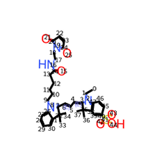 CCN1/C(=C/C=C/C2=[N+](CCCCCC(=O)NCCN3C(=O)C=CC3=O)c3ccccc3C2(C)C)C(C)(C)c2cc(S(=O)(=O)O)ccc21